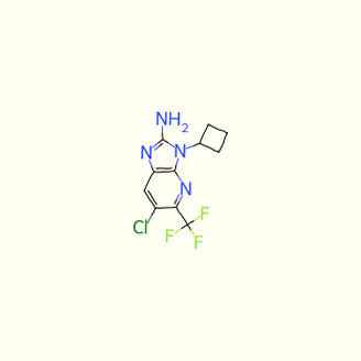 Nc1nc2cc(Cl)c(C(F)(F)F)nc2n1C1CCC1